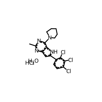 Cc1nc(N2CCCCC2)c2[nH]c(-c3ccc(Cl)c(Cl)c3Cl)cc2n1.Cl.O